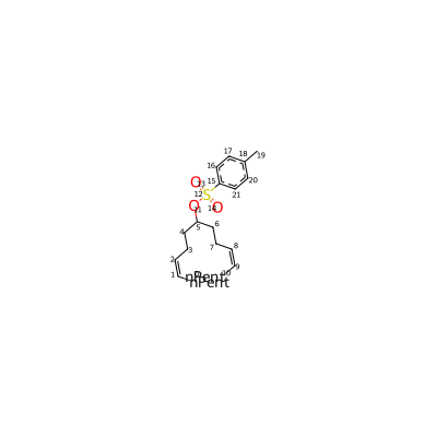 CCCCC/C=C\CCC(CC/C=C\CCCCC)OS(=O)(=O)c1ccc(C)cc1